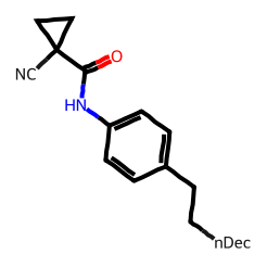 CCCCCCCCCCCCc1ccc(NC(=O)C2(C#N)CC2)cc1